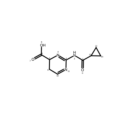 O=C(NC1=NC(C(=O)O)CC=N1)C1CC1